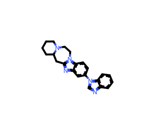 c1ccc2c(c1)ncn2-c1ccc2c(c1)nc1n2CCN2CCCCC2C1